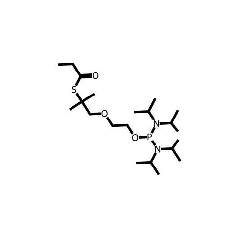 CCC(=O)SC(C)(C)COCCOP(N(C(C)C)C(C)C)N(C(C)C)C(C)C